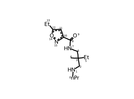 CCCNCC(C)(CC)CNC(=O)c1cc(CC)on1